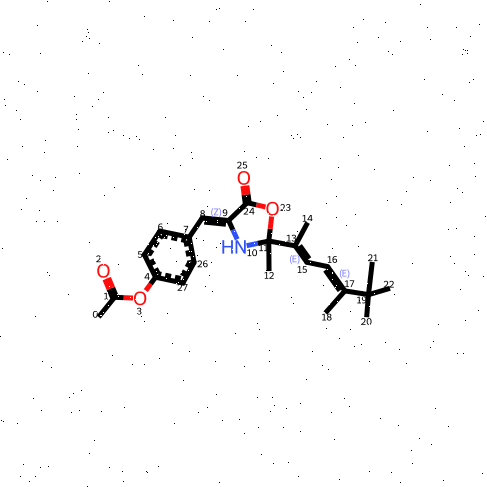 CC(=O)Oc1ccc(/C=C2\NC(C)(/C(C)=C/C=C(\C)C(C)(C)C)OC2=O)cc1